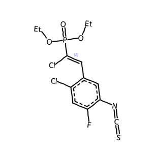 CCOP(=O)(OCC)/C(Cl)=C/c1cc(N=C=S)c(F)cc1Cl